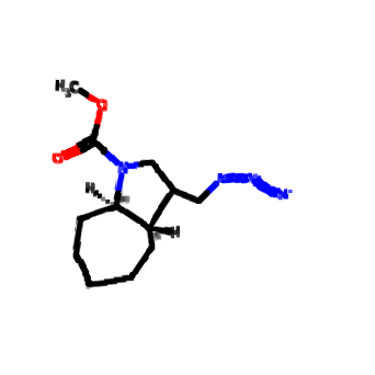 COC(=O)N1CC(CN=[N+]=[N-])[C@@H]2CCCCC[C@H]21